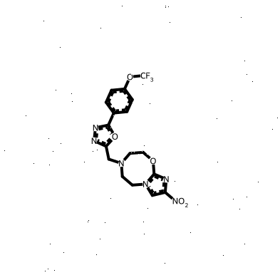 O=[N+]([O-])c1cn2c(n1)OCCN(Cc1nnc(-c3ccc(OC(F)(F)F)cc3)o1)CC2